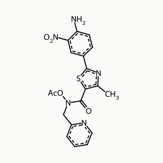 CC(=O)ON(Cc1ccccn1)C(=O)c1sc(-c2ccc(N)c([N+](=O)[O-])c2)nc1C